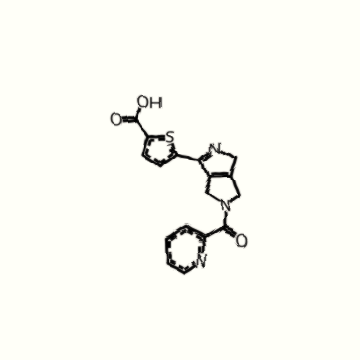 O=C(O)c1ccc(C2=NCC3=C2CN(C(=O)c2ccccn2)C3)s1